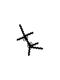 CCCCCCCCCCC(CCCCCCC)(CCCCCCC)OC(=O)CCCCC(=O)OC(CCCCCCC)(CCCCCCC)CCCCCCCCCC